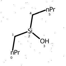 CCCC[Si](O)CCCC